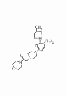 CC1CCN(c2nc(N3CCN(CC(=O)N4CCOCC4)CC3)ccc2[N+](=O)[O-])CC1